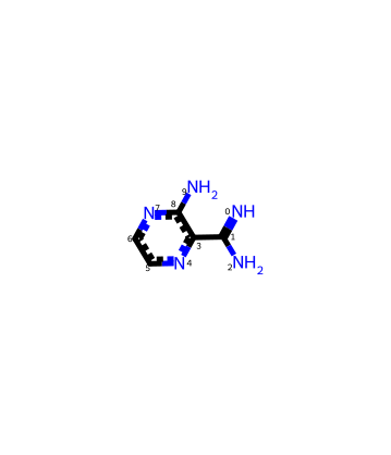 N=C(N)c1nccnc1N